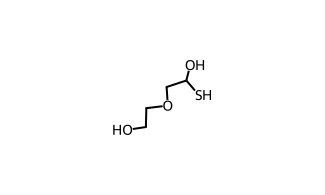 OCCOCC(O)S